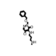 CNCCCNc1c(Cl)cnn(COCc2ccccc2)c1=O